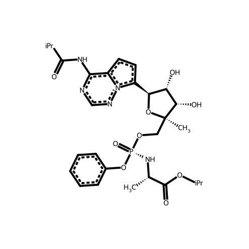 CC(C)OC(=O)[C@H](C)N[P@](=O)(OC[C@@]1(C)O[C@@H](c2ccc3c(NC(=O)C(C)C)ncnn23)[C@H](O)[C@@H]1O)Oc1ccccc1